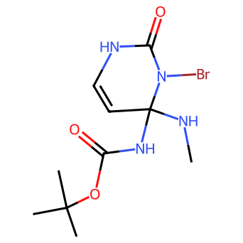 CNC1(NC(=O)OC(C)(C)C)C=CNC(=O)N1Br